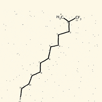 CC(CCCCCCCCCCI)C(F)(F)F